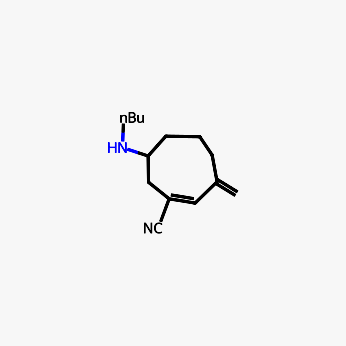 C=C1/C=C(/C#N)CC(NCCCC)CCC1